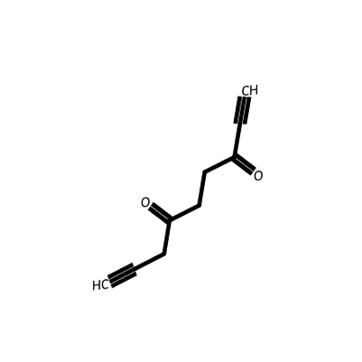 C#CCC(=O)CCC(=O)C#C